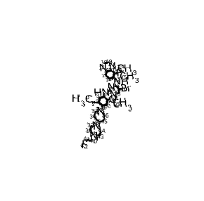 CCc1cc(Nc2ncc(Br)c(Nc3ccc4nccnc4c3P(C)C)n2)c(OC)cc1N1CCC(N2CCN(CCF)CC2)CC1